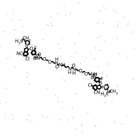 CN(C)[C@@H]1CCCN(C2Cc3c(C#N)cc(Cl)cc3[C@@H]2Oc2ccc(S(=O)(=O)NCCOCCOCCNC(=O)NCCCCNC(=O)NCCOCCOCCNS(=O)(=O)c3ccc(O[C@H]4c5cc(Cl)cc(C#N)c5C[C@@H]4N4CCC[C@@H](N(C)C)C4)c(F)c3)cc2F)C1